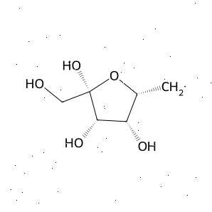 [CH2][C@H]1O[C@](O)(CO)[C@@H](O)[C@H]1O